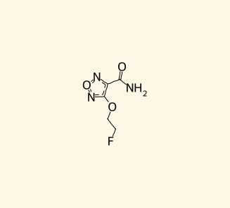 NC(=O)c1nonc1OCCF